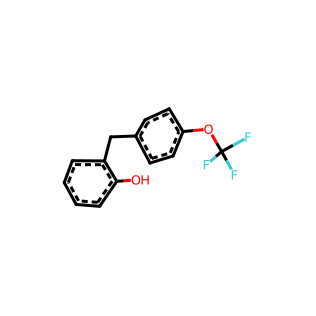 Oc1ccccc1Cc1ccc(OC(F)(F)F)cc1